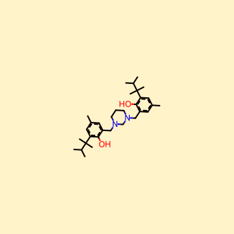 Cc1cc(CN2CCCN(Cc3cc(C)cc(C(C)(C)C(C)C)c3O)C2)c(O)c(C(C)(C)C(C)C)c1